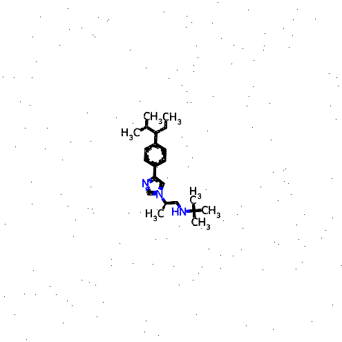 CCC(c1ccc(-c2cn([C@H](C)CNC(C)(C)C)cn2)cc1)C(C)C